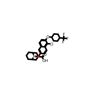 O=C(O)C1CC2CCCC(C1)N2Cc1ccc2c(Cl)c(OC3CCC(C(F)(F)F)CC3)ccc2c1